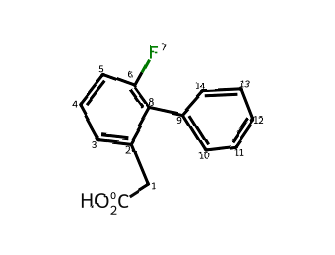 O=C(O)Cc1cccc(F)c1-c1ccccc1